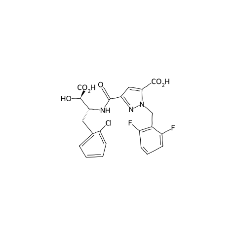 O=C(N[C@H](Cc1ccccc1Cl)[C@@H](O)C(=O)O)c1cc(C(=O)O)n(Cc2c(F)cccc2F)n1